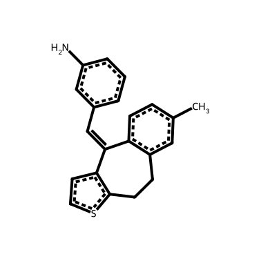 Cc1ccc2c(c1)CCc1sccc1/C2=C/c1cccc(N)c1